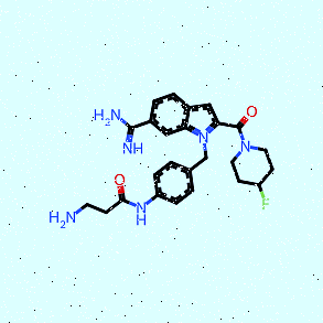 N=C(N)c1ccc2cc(C(=O)N3CCC(F)CC3)n(Cc3ccc(NC(=O)CCN)cc3)c2c1